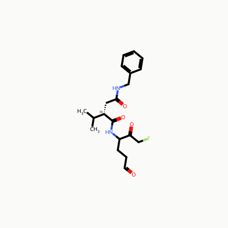 CC(C)[C@H](CC(=O)NCc1ccccc1)C(=O)NC(CCC=O)C(=O)CF